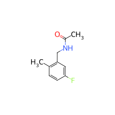 CC(=O)NCc1cc(F)ccc1C